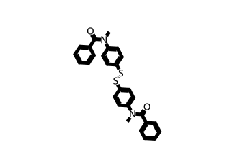 CN(C(=O)c1ccccc1)c1ccc(SSc2ccc(N(C)C(=O)c3ccccc3)cc2)cc1